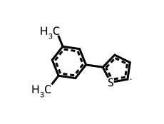 Cc1cc(C)cc(-c2cc[c]s2)c1